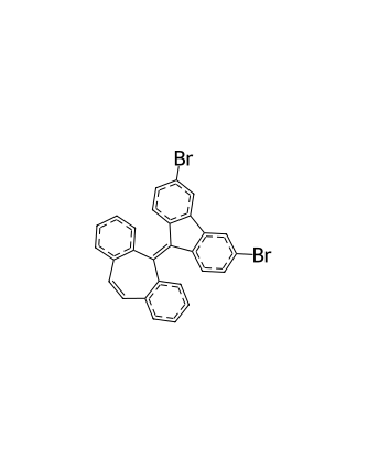 Brc1ccc2c(c1)-c1cc(Br)ccc1C2=C1c2ccccc2C=Cc2ccccc21